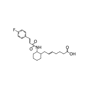 O=C(O)CCC/C=C/CC1CCCCC1NS(=O)(=O)/C=C/c1ccc(F)cc1